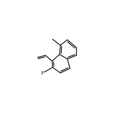 C=Cc1c(F)ccc2cccc(C)c12